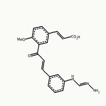 COc1ccc(C=CC(=O)O)cc1C(=O)C=Cc1cccc(NC=NN)c1